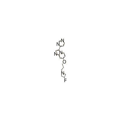 FC1CN(CCCOc2ccn3c(-c4ccncn4)cnc3c2)C1